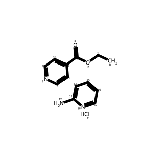 CCOC(=O)c1ccncc1.Cl.Nc1ccccn1